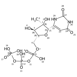 C[C@@]1(O)[C@H](O)[C@@H](COP(=O)(O)OP(=O)(O)OP(=O)(O)O)O[C@H]1c1cc(=O)[nH]c(=O)[nH]1